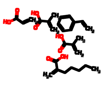 C=C(C)C(=O)O.C=C(C)C(=O)O.C=C(CCCCC)C(=O)O.C=CC(=O)O.C=Cc1ccccc1